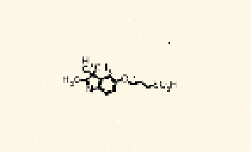 CC1=Nc2ccc(OCCCS(=O)(=O)O)cc2C1(C)C